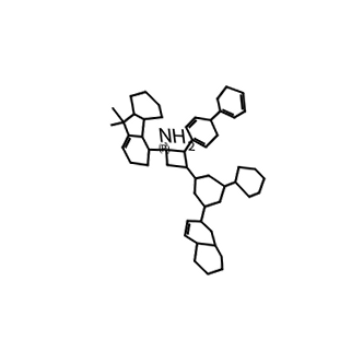 CC1(C)C2=CCCC([C@]3(N)CC(C4CC(C5C=CC6CCCCC6C5)CC(C5CCCCC5)C4)C3C3=CCC(C4=CC=CCC4)C=C3)C2C2CCCCC21